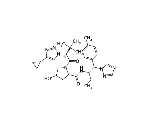 CCC(NC(=O)C1CC(O)CN1C(=O)[C@@H](n1cc(C2CC2)nn1)C(C)(C)C)C(c1ccc(C)cc1)n1cncn1